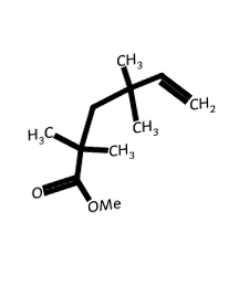 C=CC(C)(C)CC(C)(C)C(=O)OC